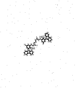 Cc1cc(CCN(C)CCCN(C)CCc2cc(C)cc(-n3c4ccccc4c4ccccc43)c2O)c(O)c(-n2c3ccccc3c3ccccc32)c1